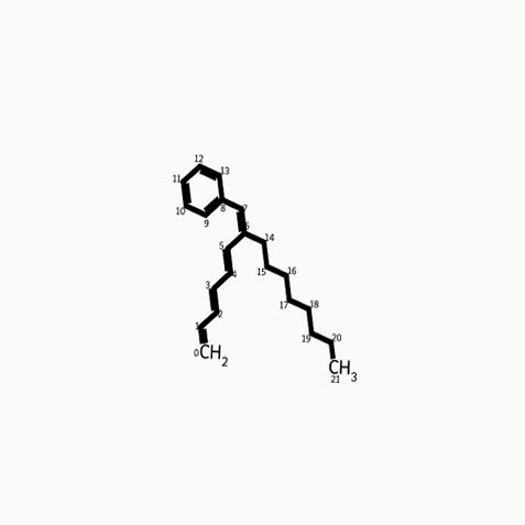 C=CC=CC=CC(=Cc1ccccc1)CCCCCCCC